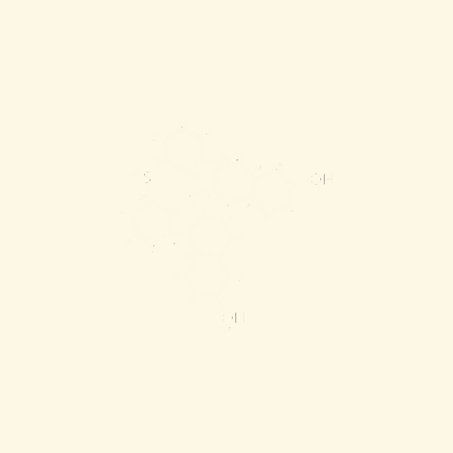 Oc1ccc2cc(C3(c4ccc5cc(O)ccc5c4)c4ccccc4Sc4ccccc43)ccc2c1